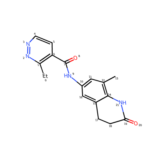 CCc1nnccc1C(=O)Nc1cc(C)c2c(c1)CCC(=O)N2